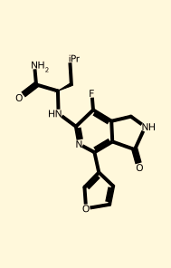 CC(C)C[C@@H](Nc1nc(-c2ccoc2)c2c(c1F)CNC2=O)C(N)=O